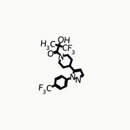 CC(O)(C(=O)N1CCC(c2ccnn2-c2ccc(C(F)(F)F)cc2)CC1)C(F)(F)F